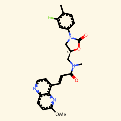 COc1ccc2nccc(C=CC(=O)N(C)C[C@H]3CN(c4ccc(C)c(F)c4)C(=O)O3)c2n1